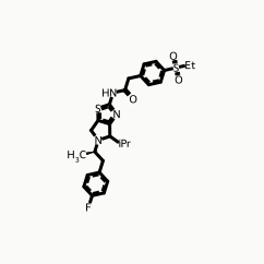 CCS(=O)(=O)c1ccc(CC(=O)Nc2nc3c(s2)CN([C@H](C)Cc2ccc(F)cc2)C3C(C)C)cc1